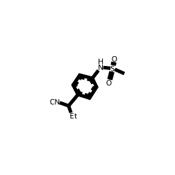 [C-]#[N+]C(CC)c1ccc(NS(C)(=O)=O)cc1